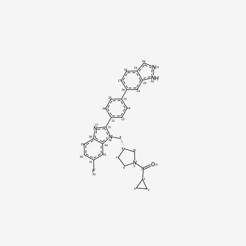 O=C(C1CC1)N1CC[C@H](Cn2c(-c3ccc(-c4ccc5cn[nH]c5c4)cc3)nc3ccc(F)cc32)C1